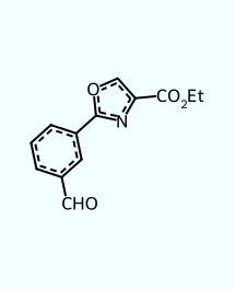 CCOC(=O)c1coc(-c2cccc(C=O)c2)n1